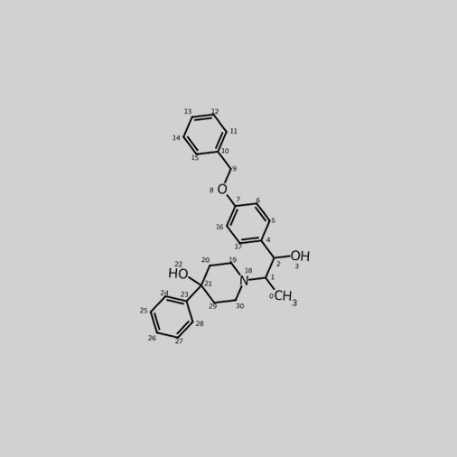 CC(C(O)c1ccc(OCc2ccccc2)cc1)N1CCC(O)(c2ccccc2)CC1